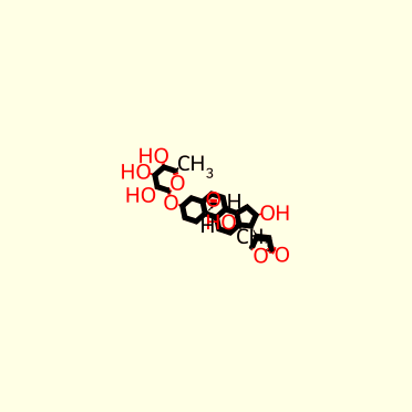 C[C@@H]1O[C@@H](O[C@H]2CC[C@@]3(C=O)C(CC[C@@H]4[C@@H]3CC[C@]3(C)[C@@H](C5=CC(=O)OC5)[C@@H](O)C[C@]43O)C2)[C@H](O)[C@H](O)[C@H]1O